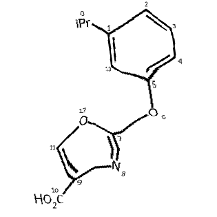 CC(C)c1cccc(Oc2nc(C(=O)O)co2)c1